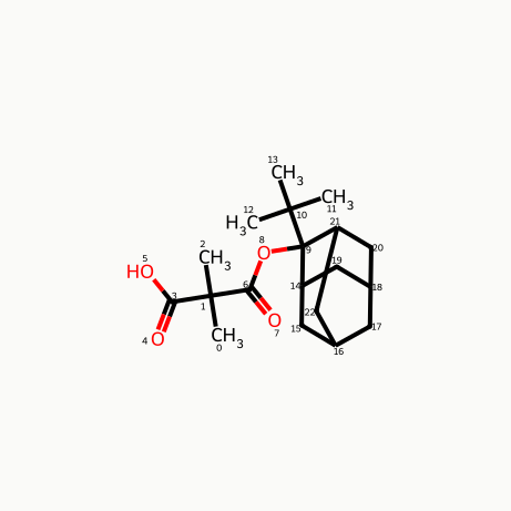 CC(C)(C(=O)O)C(=O)OC1(C(C)(C)C)C2CC3CC(C2)CC1C3